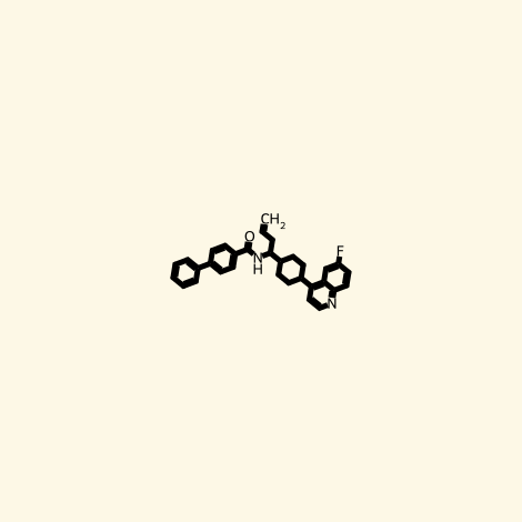 C=CCC(NC(=O)c1ccc(-c2ccccc2)cc1)C1CCC(c2ccnc3ccc(F)cc23)CC1